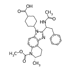 COC(=O)N1c2ccc3c(nc(C(Cc4ccccc4)NC(C)=O)n3C3CCC(C(=O)O)CC3)c2CC[C@@H]1C